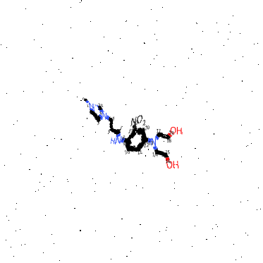 C[n+]1ccn(CCCNc2ccc(N(CCO)CCO)cc2[N+](=O)[O-])c1